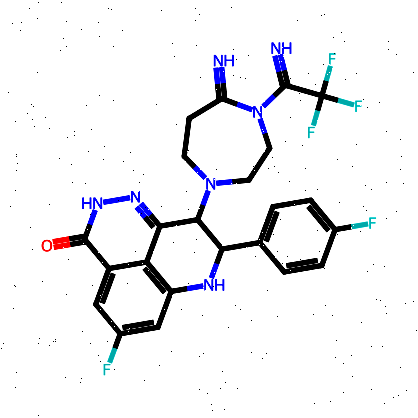 N=C1CCN(C2c3n[nH]c(=O)c4cc(F)cc(c34)NC2c2ccc(F)cc2)CCN1C(=N)C(F)(F)F